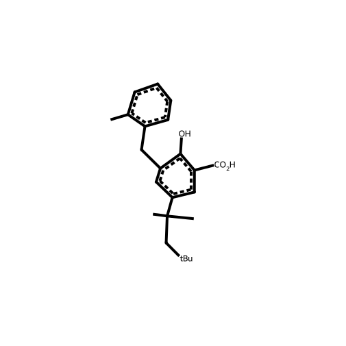 Cc1ccccc1Cc1cc(C(C)(C)CC(C)(C)C)cc(C(=O)O)c1O